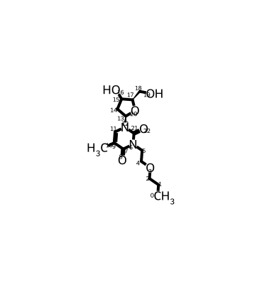 CCCOCCn1c(=O)c(C)cn([C@H]2CC(O)[C@@H](CO)O2)c1=O